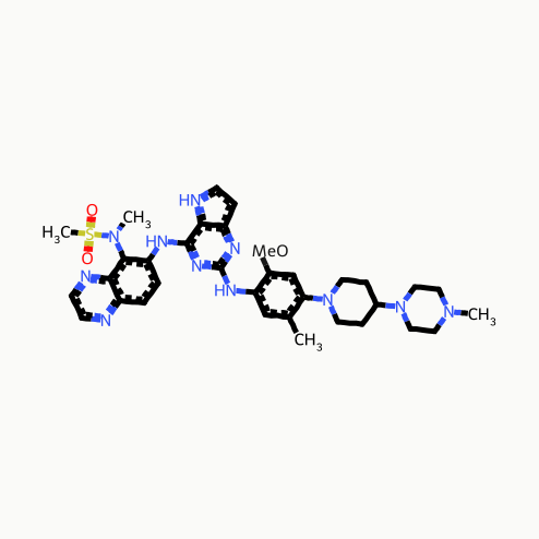 COc1cc(N2CCC(N3CCN(C)CC3)CC2)c(C)cc1Nc1nc(Nc2ccc3nccnc3c2N(C)S(C)(=O)=O)c2[nH]ccc2n1